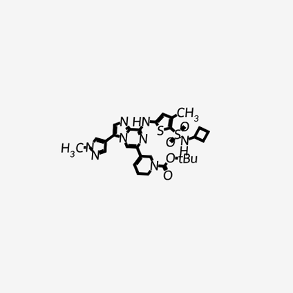 Cc1cc(Nc2nc(C3=CCCN(C(=O)OC(C)(C)C)C3)cn3c(-c4cnn(C)c4)cnc23)sc1S(=O)(=O)NC1CCC1